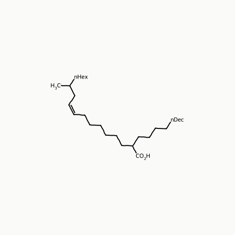 CCCCCCCCCCCCCCC(CCCCCC/C=C\CC(C)CCCCCC)C(=O)O